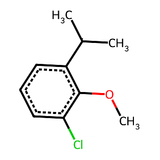 COc1c(Cl)cccc1[C](C)C